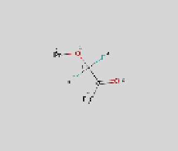 CC(C)OC(F)(F)C(=O)C(F)(F)F